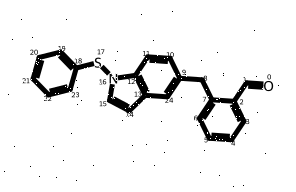 O=Cc1ccccc1Cc1ccc2c(ccn2Sc2ccccc2)c1